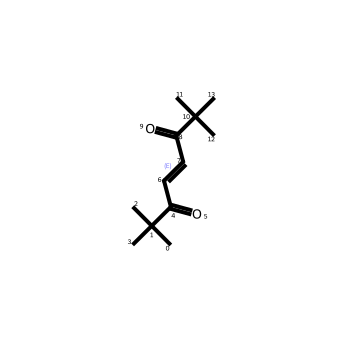 CC(C)(C)C(=O)/C=C/C(=O)C(C)(C)C